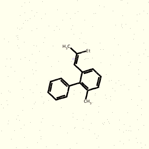 CC/C(C)=C\c1cccc(C)c1-c1ccccc1